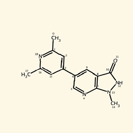 Cc1cc(-c2cnc3c(c2)c(=O)[nH]n3C)cc(C)n1